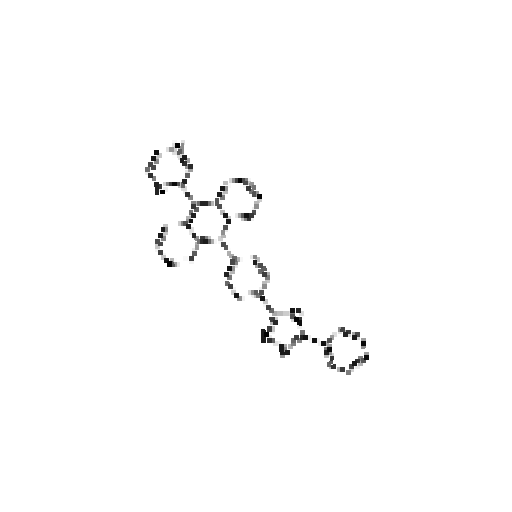 c1ccc(-c2nnc(-c3ccc(-c4c5ccccc5c(-c5cnccn5)c5ccccc45)cc3)o2)cc1